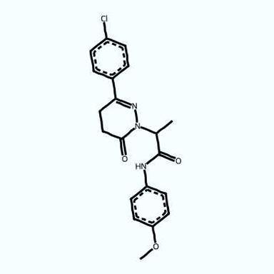 COc1ccc(NC(=O)C(C)N2N=C(c3ccc(Cl)cc3)CCC2=O)cc1